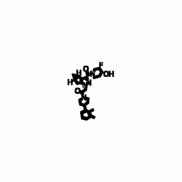 Cc1cccc(C2CCN(C(=O)Cn3nc(C(=O)N4CC[C@@H](O)[C@@H](F)C4)c4c3C[C@@H]3C[C@H]43)CC2)c1C